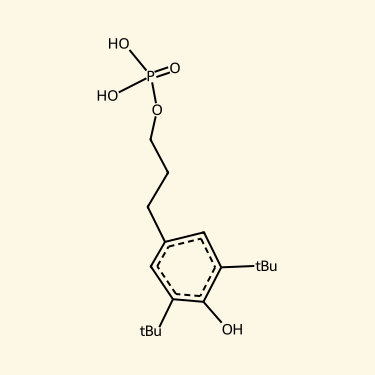 CC(C)(C)c1cc(CCCOP(=O)(O)O)cc(C(C)(C)C)c1O